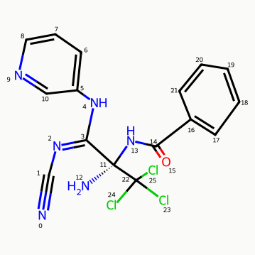 N#CN=C(Nc1cccnc1)[C@@](N)(NC(=O)c1ccccc1)C(Cl)(Cl)Cl